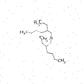 CCCCC(CC)[CH2][Zn][CH2]C(CC)CCCC